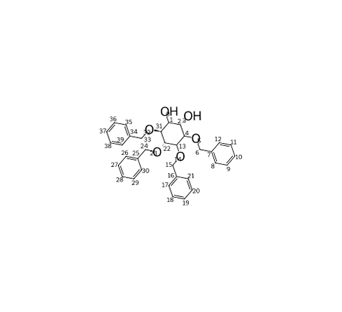 OC1[C@H](O)C(OCc2ccccc2)C(OCc2ccccc2)[C@H](OCc2ccccc2)[C@H]1OCc1ccccc1